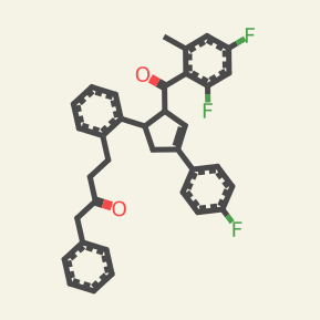 Cc1cc(F)cc(F)c1C(=O)C1C=C(c2ccc(F)cc2)CC1c1ccccc1CCC(=O)Cc1ccccc1